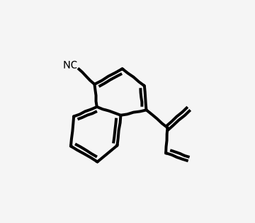 C=CC(=C)c1ccc(C#N)c2ccccc12